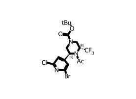 CC(=O)N1[C@@H](c2cc(Cl)nc(Br)c2)CN(C(=O)OC(C)(C)C)C[C@@H]1C(F)(F)F